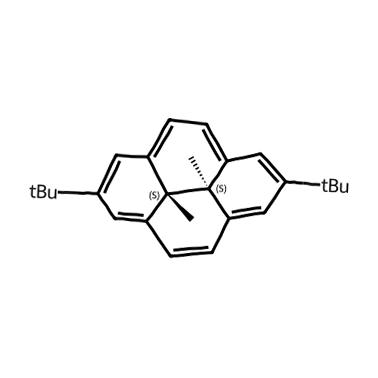 CC(C)(C)C1=CC2=CC=C3C=C(C(C)(C)C)C=C4C=CC(=C1)[C@@]2(C)[C@@]34C